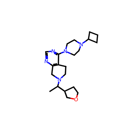 CC(C1CCOC1)N1CCc2c(ncnc2N2CCN(C3CCC3)CC2)C1